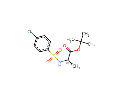 C[C@@H](NS(=O)(=O)c1ccc(Cl)cc1)C(=O)OC(C)(C)C